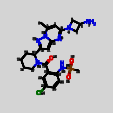 Cc1cc(N2CC(N)C2)nc2cc([C@@H]3CCCCN3C(=O)c3cc(Cl)ccc3NS(C)(=O)=O)nn12